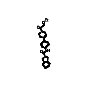 CCOCC(=O)N1CC=C(c2ccc(NC(=O)N3Cc4ccccc4C3)cc2)CC1